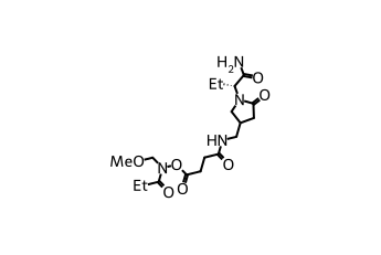 CCC(=O)N(COC)OC(=O)CCC(=O)NCC1CC(=O)N([C@H](CC)C(N)=O)C1